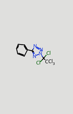 ClC(Cl)(Cl)C(Cl)(Cl)n1nnc(-c2ccccc2)n1